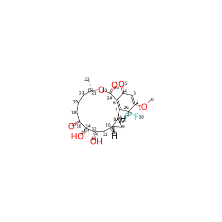 COC1=CC(=O)C2=C([C@H]3C[C@@H]3C[C@H](O)[C@H](O)C(=O)CCC[C@H](C)OC2=O)C1(F)F